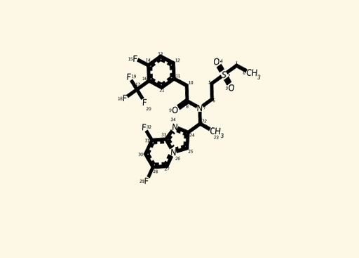 CCS(=O)(=O)CCN(C(=O)Cc1ccc(F)c(C(F)(F)F)c1)C(C)c1cn2cc(F)cc(F)c2n1